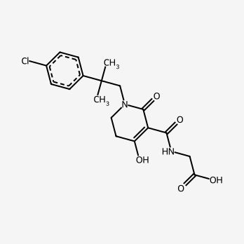 CC(C)(CN1CCC(O)=C(C(=O)NCC(=O)O)C1=O)c1ccc(Cl)cc1